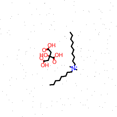 CCCCCCCCCC[N+](C)(C)CCCCCCCC.O=C(O)CC(O)(CC(=O)O)C(=O)O